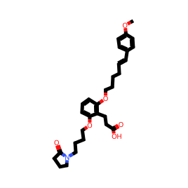 COc1ccc(/C=C/CCCCOc2cccc(OCCCCN3CCCC3=O)c2CCC(=O)O)cc1